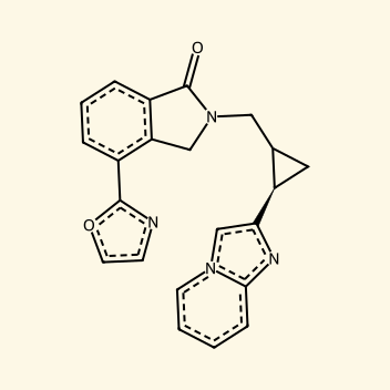 O=C1c2cccc(-c3ncco3)c2CN1CC1C[C@H]1c1cn2ccccc2n1